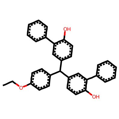 CCOc1ccc(C(c2ccc(O)c(-c3ccccc3)c2)c2ccc(O)c(-c3ccccc3)c2)cc1